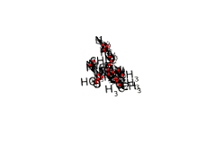 Cn1nnc(CNc2cc(C(=O)O)ccc2N)n1.Cn1nnc(Cn2c(Cc3ccc(-c4cccc(OCc5ccc(C#N)cc5F)n4)cc3F)nc3ccc(C(=O)OC(C)(C)C)cc32)n1